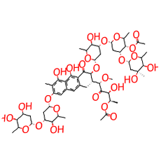 CO[C@H](C(=O)[C@@H](O)[C@@H](C)OC(C)=O)[C@@H]1Cc2cc3cc(O[C@H]4C[C@@H](O[C@H]5CC(O)[C@H](O)C(C)O5)[C@H](O)C(C)O4)c(C)c(O)c3c(O)c2C(=O)[C@H]1O[C@H]1C[C@@H](O[C@H]2C[C@@H](O[C@H]3C[C@](C)(O)[C@H](O)C(C)O3)[C@@H](OC(C)=O)C(C)O2)[C@H](O)C(C)O1